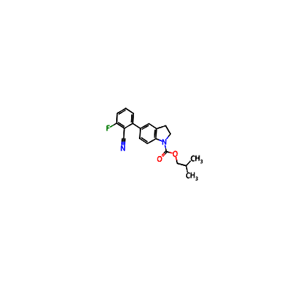 CC(C)COC(=O)N1CCc2cc(-c3cccc(F)c3C#N)ccc21